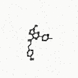 Cc1ccc(-c2nc(NCCc3ccc(O)cc3)c3ncn(C(C)C)c3n2)cn1